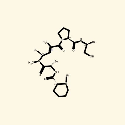 C/C(=C\[C@H](C(C)C)N(C)C(=O)[C@@H](NC(=O)[C@H]1CCCCN1C(C)C)C(C)(C)C)C(=O)N1CCC[C@H]1C(=O)N[C@H](CO)C(C)(C)C